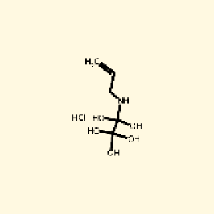 C=CCNC(O)(O)C(O)(O)O.Cl